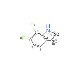 Fc1ccc2c(c1F)N[Se][Se]2